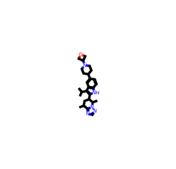 CC(C)c1c(C2CC(C)c3ncnn3C2C)[nH]c2ccc(C3CCN(C4COC4)CC3)cc12